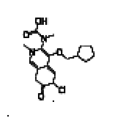 CN1C=C2CC(=O)C(Cl)C=C2C(OCC2CCCC2)=C1N(C)C(=O)O